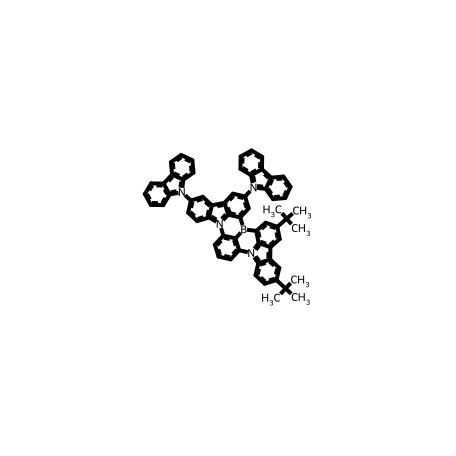 CC(C)(C)c1ccc2c(c1)c1cc(C(C)(C)C)cc3c1n2-c1cccc2c1B3c1cc(-n3c4ccccc4c4ccccc43)cc3c4cc(-n5c6ccccc6c6ccccc65)ccc4n-2c13